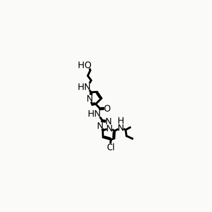 CCC(C)Nc1cc(Cl)cc2nc(NC(=O)c3ccc(NCCCO)nc3)nn12